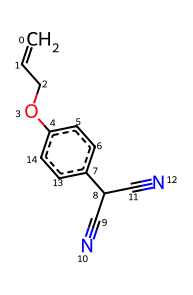 C=CCOc1ccc(C(C#N)C#N)cc1